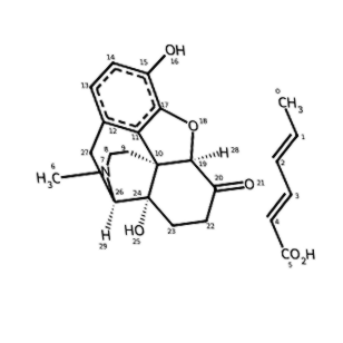 C/C=C/C=C/C(=O)O.CN1CC[C@]23c4c5ccc(O)c4O[C@H]2C(=O)CC[C@@]3(O)[C@H]1C5